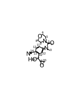 CN(C(=O)N1CCOCC1)c1ccc(C#N)c(C(O)C2CO2)c1